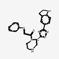 O=C(COc1ccccc1)N1CCNC[C@@H]1c1nc(-c2ccc3c(c2)CCN3)no1